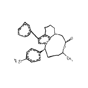 CC1CC[C@@H](c2ccc(C(F)(F)F)cc2)n2cc(-c3ccccc3)c3c2C(CCC3)CC(=O)O1